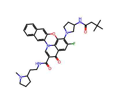 CN1CCCC1CCNC(=O)c1cn2c3c(c(N4CCC(NC(=O)CC(C)(C)C)C4)c(F)cc3c1=O)Oc1cc3ccccc3cc1-2